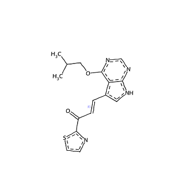 CC(C)COc1ncnc2[nH]cc(/C=C/C(=O)c3nccs3)c12